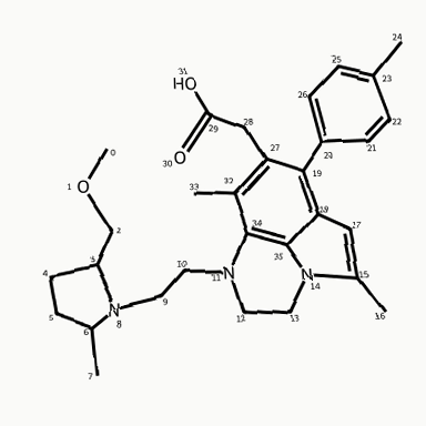 COCC1CCC(C)N1CCN1CCn2c(C)cc3c(-c4ccc(C)cc4)c(CC(=O)O)c(C)c1c32